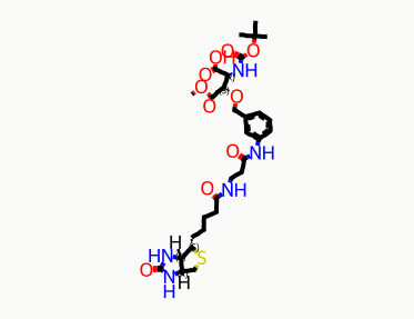 COC(=O)[C@@H](OCc1cccc(NC(=O)CCNC(=O)CCCC[C@@H]2SC[C@@H]3NC(=O)N[C@@H]32)c1)[C@@H](NC(=O)OC(C)(C)C)C(=O)O